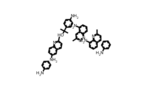 CC(C)(O)c1ccc(N)cc1.Cc1cc2c(N)cccc2nn1.Cc1ccc2cc(N)ccc2n1.Cc1ccc2cccc(N)c2n1.Nc1c[c]ccc1.Nc1ccccc1